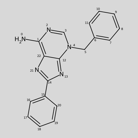 Nc1ncn(Cc2ccccc2)c2nc(-c3ccccc3)nc1-2